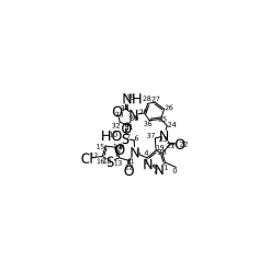 Cc1nnc(N(CS(=O)(=O)O)C(=O)c2ccc(Cl)s2)c2c1C(=O)N(Cc1cccc(N3CCOC3=N)c1)C2